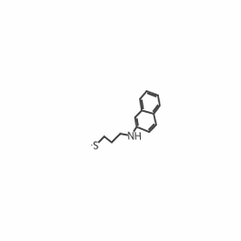 [S]CCCNc1ccc2ccccc2c1